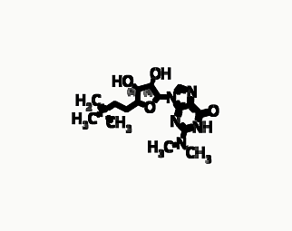 C=P(C)(C)CCC1OC(n2cnc3c(=O)[nH]c(N(C)C)nc32)[C@H](O)[C@@H]1O